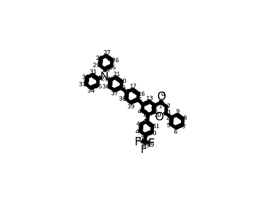 O=C1CC(c2ccccc2)Oc2c1cc(-c1ccc(-c3ccc(N(c4ccccc4)c4ccccc4)cc3)cc1)cc2-c1ccc(C(F)(F)F)cc1